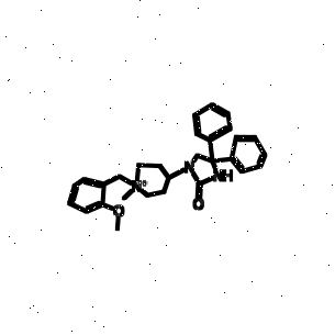 COc1ccccc1C[N+]1(C)CCC(N2CC(c3ccccc3)(c3ccccc3)NC2=O)CC1